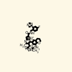 Cc1nc2cc(C(=O)NCc3ccc(F)cc3-n3cncn3)nn2c(-c2cc(F)c3c(c2C)CCCO3)c1[C@H](OC(C)(C)C)C(=O)O